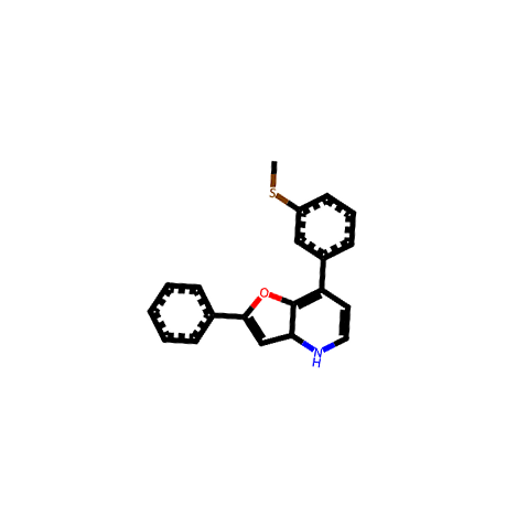 CSc1cccc(C2=C3OC(c4ccccc4)=CC3NC=C2)c1